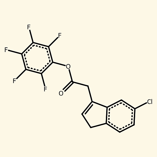 O=C(CC1=CCc2ccc(Cl)cc21)Oc1c(F)c(F)c(F)c(F)c1F